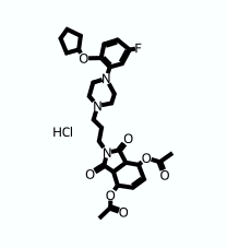 CC(=O)OC1C=CC(OC(C)=O)C2C(=O)N(CCCN3CCN(c4cc(F)ccc4OC4CCCC4)CC3)C(=O)C12.Cl